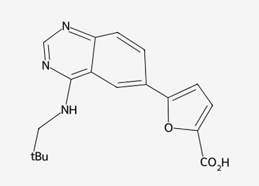 CC(C)(C)CNc1ncnc2ccc(-c3ccc(C(=O)O)o3)cc12